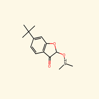 C[SiH](C)OC1Oc2cc(C(C)(C)C)ccc2C1=O